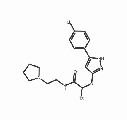 CCC(Oc1cc(-c2ccc(Cl)cc2)[nH]n1)C(=O)NCCN1CCCC1